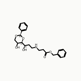 O=C(CCNCC[C@@H](O)[C@@H]1O[C@H](c2ccccc2)OCC1O)OCc1ccccc1